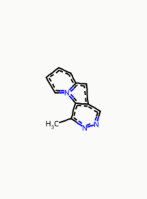 Cc1nncc2cc3ccccn3c12